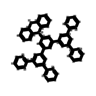 c1cnc(-c2cc(-c3cc(-c4cc(-c5ncccn5)cc(-c5ncccn5)c4)cc(N4c5ccccc5Oc5ccccc54)c3)cc(-c3ncccn3)c2)nc1